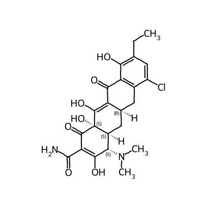 CCc1cc(Cl)c2c(c1O)C(=O)C1=C(O)[C@]3(O)C(=O)C(C(N)=O)=C(O)[C@@H](N(C)C)[C@@H]3C[C@@H]1C2